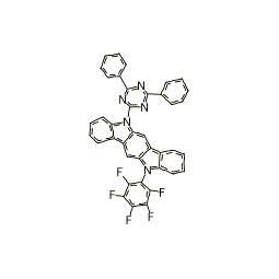 Fc1c(F)c(F)c(-n2c3ccccc3c3cc4c(cc32)c2ccccc2n4-c2nc(-c3ccccc3)nc(-c3ccccc3)n2)c(F)c1F